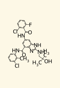 Cc1c(Cl)cccc1NC(=O)c1cc(NC(=O)c2c(F)cccc2Cl)cc2[nH]c(NCC(C)(C)O)nc12